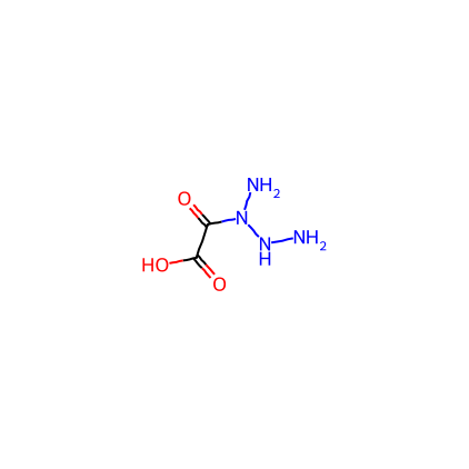 NNN(N)C(=O)C(=O)O